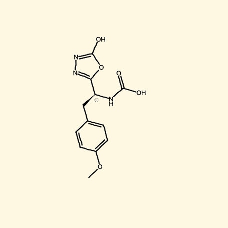 COc1ccc(C[C@H](NC(=O)O)c2nnc(O)o2)cc1